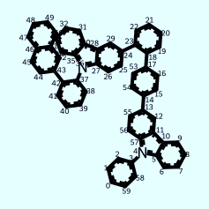 c1ccc(-n2c3ccccc3c3cc(-c4ccc(-c5ccccc5-c5ccc6c(c5)c5ccccc5n6-c5ccccc5-c5ccc6ccccc6c5)cc4)ccc32)cc1